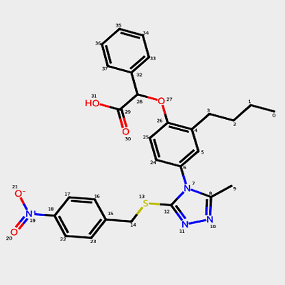 CCCCc1cc(-n2c(C)nnc2SCc2ccc([N+](=O)[O-])cc2)ccc1OC(C(=O)O)c1ccccc1